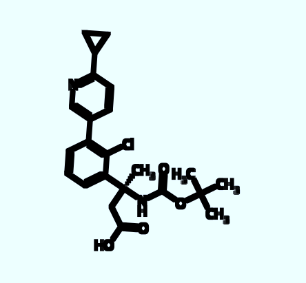 CC(C)(C)OC(=O)N[C@@](C)(CC(=O)O)c1cccc(-c2ccc(C3CC3)nc2)c1Cl